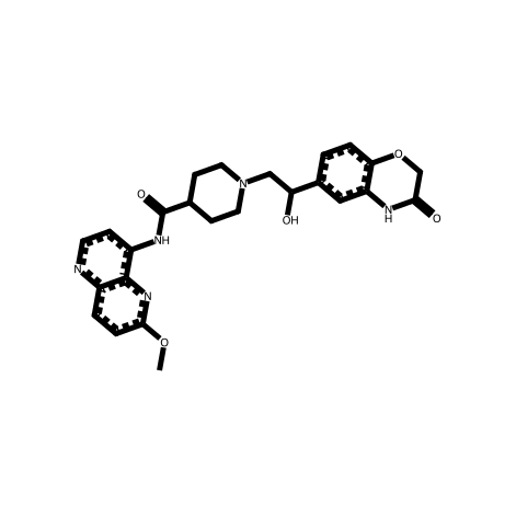 COc1ccc2nccc(NC(=O)C3CCN(CC(O)c4ccc5c(c4)NC(=O)CO5)CC3)c2n1